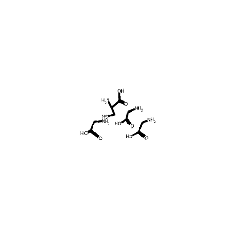 NC(CS)C(=O)O.NCC(=O)O.NCC(=O)O.NCC(=O)O